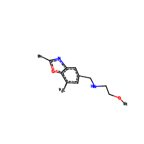 CCOCCNCc1cc(C(F)(F)F)c2oc(C(C)C)nc2c1